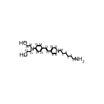 NCCCCCC[n+]1ccc(/C=C/c2ccc(N(CCO)CCO)cc2)cc1